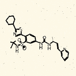 C[C@H](C=Cc1ccccn1)NC(=O)Nc1ccc(-c2cnc(C3CCCCC3)s2)c(S(=O)(=O)NC(C)(C)C)c1